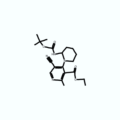 CCOC(=O)c1c(C)ncc(C#N)c1N1CCCCC1NC(=O)OC(C)(C)C